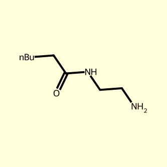 [CH2]CCCCC(=O)NCCN